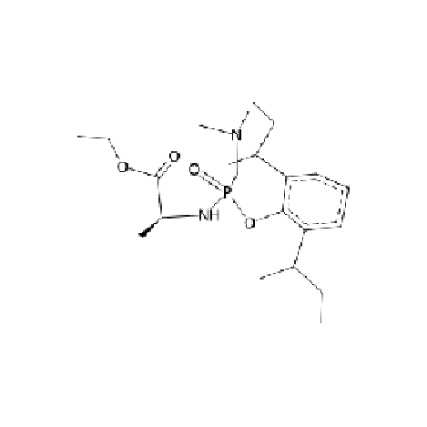 CCOC(=O)[C@H](C)NP(=O)(CN(C)C)Oc1c(C(C)CC)cccc1C(C)CC